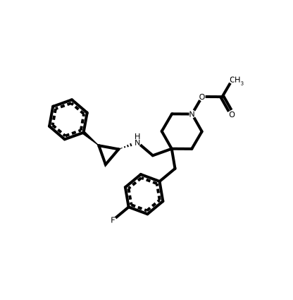 CC(=O)ON1CCC(CN[C@@H]2C[C@H]2c2ccccc2)(Cc2ccc(F)cc2)CC1